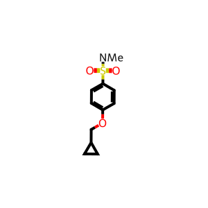 CNS(=O)(=O)c1ccc(OCC2CC2)cc1